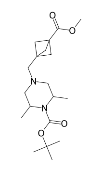 COC(=O)C12CC(CN3CC(C)N(C(=O)OC(C)(C)C)C(C)C3)(C1)C2